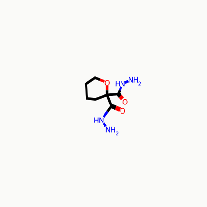 NNC(=O)C1(C(=O)NN)CCCCO1